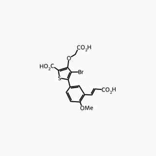 COc1ccc(-c2sc(C(=O)O)c(OCC(=O)O)c2Br)cc1/C=C/C(=O)O